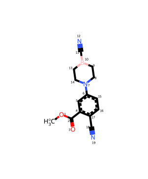 COC(=O)c1cc(N2CCB(C#N)CC2)ccc1C#N